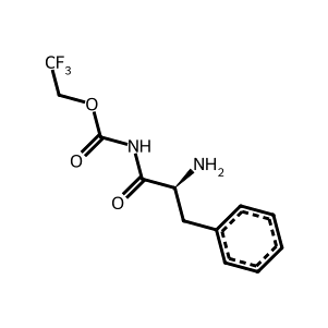 N[C@@H](Cc1ccccc1)C(=O)NC(=O)OCC(F)(F)F